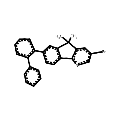 CC1(C)c2cc(-c3ccccc3-c3ccccc3)ccc2-c2ncc(Br)cc21